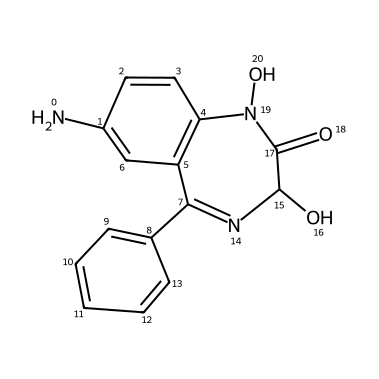 Nc1ccc2c(c1)C(c1ccccc1)=NC(O)C(=O)N2O